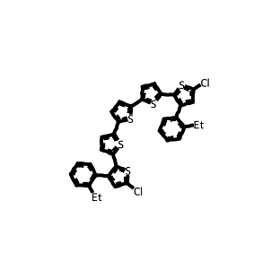 CCc1ccccc1-c1cc(Cl)sc1-c1ccc(-c2ccc(-c3ccc(-c4sc(Cl)cc4-c4ccccc4CC)s3)s2)s1